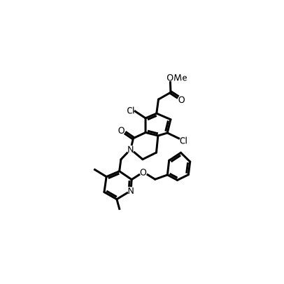 COC(=O)Cc1cc(Cl)c2c(c1Cl)C(=O)N(Cc1c(C)cc(C)nc1OCc1ccccc1)CC2